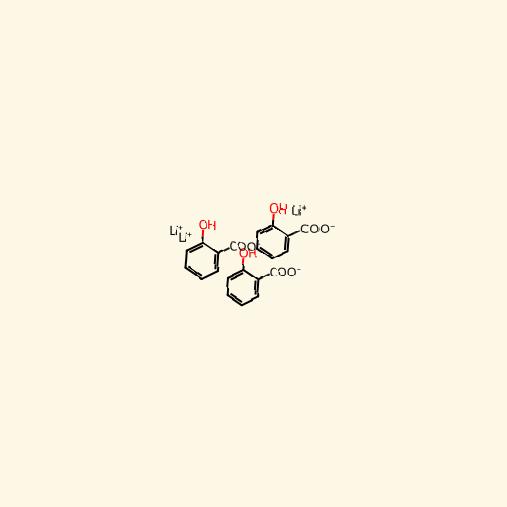 O=C([O-])c1ccccc1O.O=C([O-])c1ccccc1O.O=C([O-])c1ccccc1O.[Li+].[Li+].[Li+]